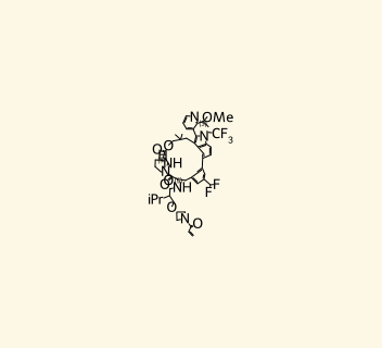 C=CC(=O)N1CC(OCC(C(=O)N[C@H]2Cc3cc(cc(C(F)F)c3)-c3ccc4c(c3)c(c(-c3cccnc3[C@H](C)OC)n4CC(F)(F)F)CC(C)(C)COC(=O)[C@@H]3CCCN(N3)C2=O)C(C)C)C1